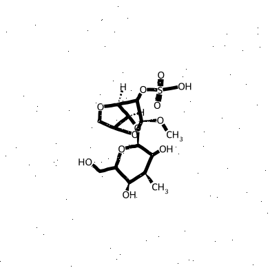 CO[C@H]1OC2CO[C@@H](C1OS(=O)(=O)O)[C@H]2O[C@@H]1OC(CO)[C@H](O)[C@H](C)C1O